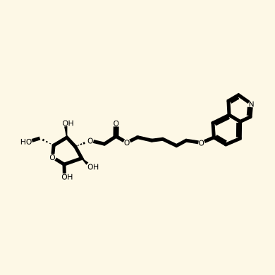 O=C(CO[C@H]1[C@H](O)[C@@H](CO)OC(O)[C@@H]1O)OCCCCCOc1ccc2cnccc2c1